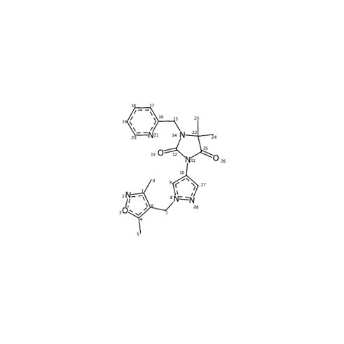 Cc1noc(C)c1Cn1cc(N2C(=O)N(Cc3ccccn3)C(C)(C)C2=O)cn1